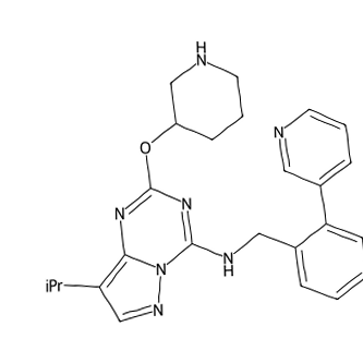 CC(C)c1cnn2c(NCc3ccccc3-c3cccnc3)nc(OC3CCCNC3)nc12